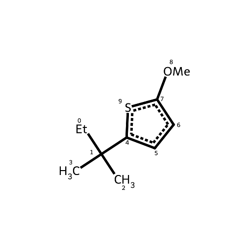 CCC(C)(C)c1ccc(OC)s1